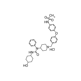 CS(=O)(=O)Nc1ccc(Oc2ccc(CN3CCC(N(C(=O)NC4CCC(O)CC4)c4ccccc4)CC3)cc2)cc1.Cl